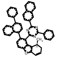 C[C@H]1CC=Cc2oc3ccc(-c4ccc(-c5ccccc5)c5ccccc45)c(-c4nc(-c5ccccc5)nc(-c5ccc6ccccc6c5)n4)c3c21